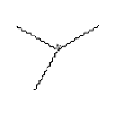 CCCCCCCCCCCCCCCCCC[Si](Br)(CCCCCCCCCCCCCCCCCC)CCCCCCCCCCCCCCCCCC